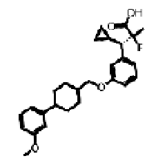 COc1cccc(C2CCC(COc3cccc([C@H](C4CC4)C(C)(F)C(=O)O)c3)CC2)c1